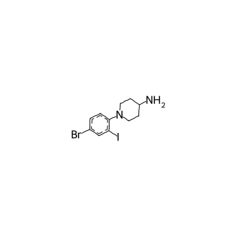 NC1CCN(c2ccc(Br)cc2I)CC1